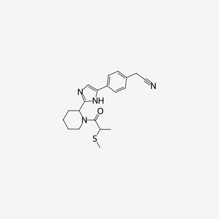 CSC(C)C(=O)N1CCCCC1c1ncc(-c2ccc(CC#N)cc2)[nH]1